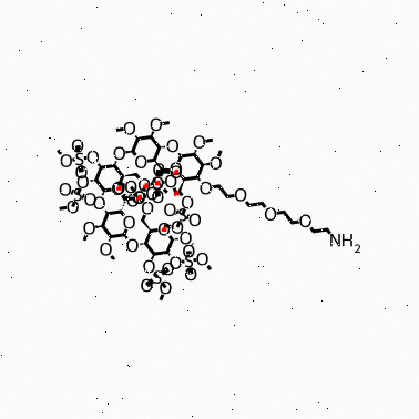 COC(=O)[C@H]1O[C@@H](O[C@H]2[C@H](OS(=O)(=O)OC)[C@@H](OS(=O)(=O)OC)[C@@H](O[C@H]3[C@H](OC)[C@@H](OC)[C@H](O[C@H]4[C@H](OS(=O)(=O)OC)[C@@H](OS(=O)(=O)OC)[C@@H](OC)O[C@@H]4COS(=O)(=O)OC)O[C@H]3C(=O)OC)O[C@@H]2COS(=O)(=O)OC)[C@H](OC)[C@@H](OC)[C@@H]1O[C@H]1O[C@H](COS(=O)(=O)OC)[C@@H](OCCOCCOCCOCCN)[C@H](OC)[C@H]1OC